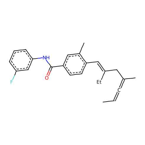 CC=C=C(C)C/C(=C/c1ccc(C(=O)Nc2cccc(F)c2)cc1C)CC